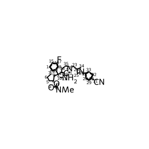 CNC(=O)O[C@H]1CCC[C@@H]1[C@@](CN)(c1cccc(F)c1)C1CCN(CC2CN(c3ccc(C#N)cc3)C2)CC1